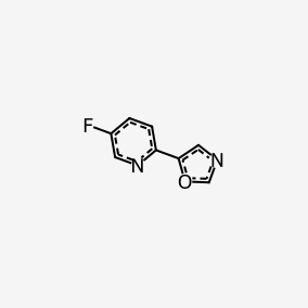 Fc1ccc(-c2cnco2)nc1